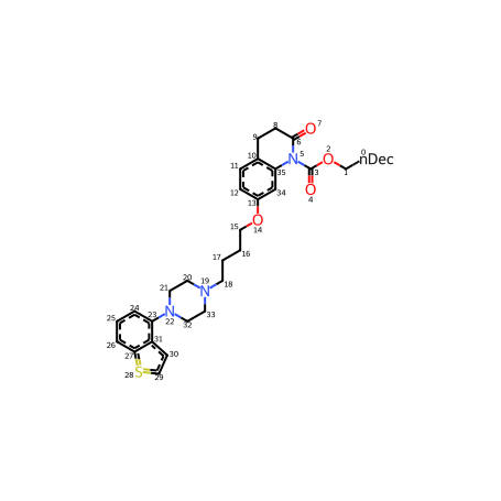 CCCCCCCCCCCOC(=O)N1C(=O)CCc2ccc(OCCCCN3CCN(c4cccc5sccc45)CC3)cc21